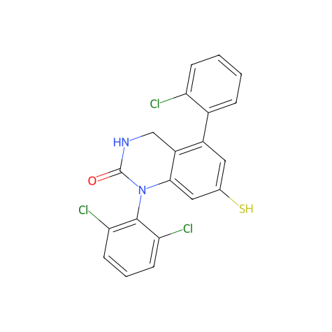 O=C1NCc2c(-c3ccccc3Cl)cc(S)cc2N1c1c(Cl)cccc1Cl